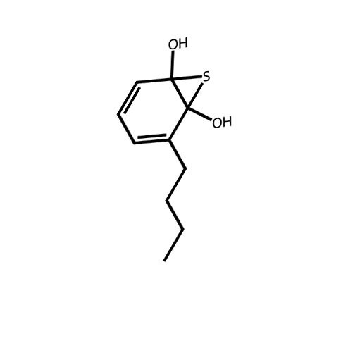 CCCCC1=CC=CC2(O)SC12O